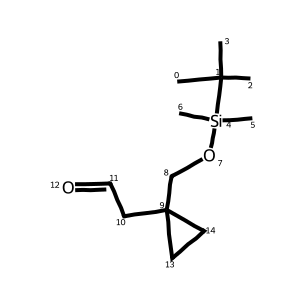 CC(C)(C)[Si](C)(C)OCC1(CC=O)CC1